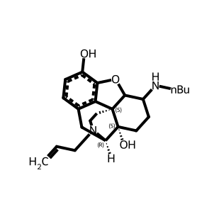 C=CCN1CC[C@]23c4c5ccc(O)c4OC2C(NCCCC)CC[C@@]3(O)[C@H]1C5